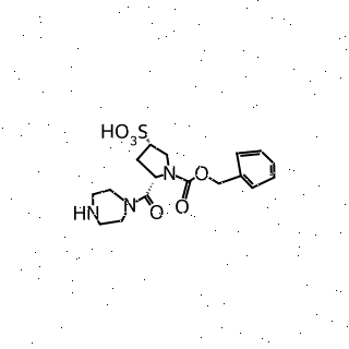 O=C([C@@H]1C[C@H](S(=O)(=O)O)CN1C(=O)OCc1ccccc1)N1CCNCC1